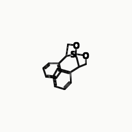 c1ccc(C2CO[Si]23OCC3c2ccccc2)cc1